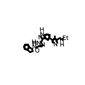 CCNCc1cncc(-c2ccc3[nH]nc(-c4ncc(C(=O)N[C@@H]5CCc6ccccc65)[nH]4)c3c2)c1C